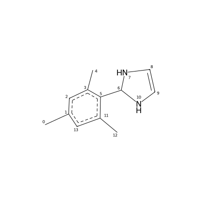 Cc1cc(C)c(C2NC=CN2)c(C)c1